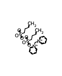 C=CCCS(=O)(=O)[O-].C=CCCS(=O)(=O)[O-].c1cc[n+](C[n+]2ccccc2)cc1